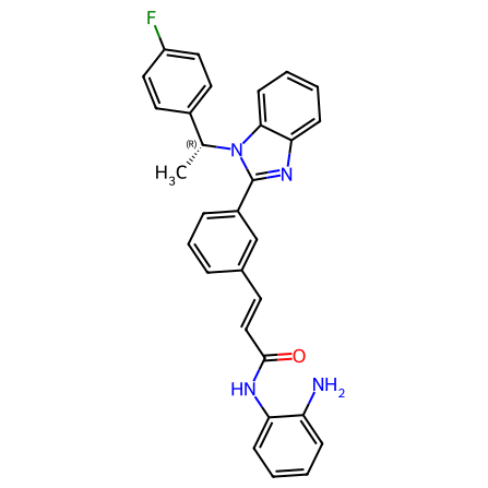 C[C@H](c1ccc(F)cc1)n1c(-c2cccc(C=CC(=O)Nc3ccccc3N)c2)nc2ccccc21